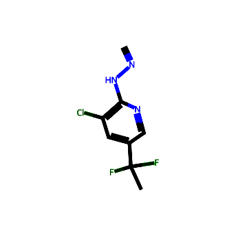 C=NNc1ncc(C(C)(F)F)cc1Cl